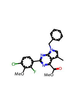 COC(=O)c1nc(-c2ccc(Cl)c(OC)c2F)nc2c1c(C)cn2Cc1ccccc1